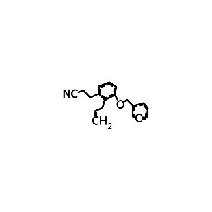 C=CCc1c(CCC#N)cccc1OCc1ccccc1